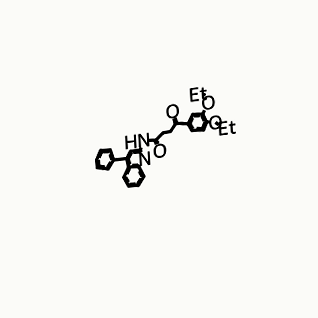 CCOc1ccc(C(=O)CCC(=O)Nc2cc(-c3ccccc3)c3ccccc3n2)cc1OCC